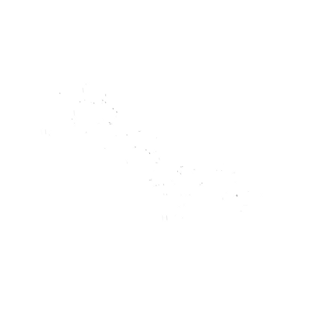 CC(C)CC(Oc1ccc2c(c1)CCN2C(=O)CN(CCC(=O)OC(C)(C)C)C(=O)OC(C)(C)C)c1c[nH]nc1C(F)(F)F